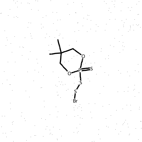 CC1(C)COP(=S)(SSBr)OC1